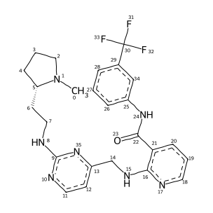 CN1CCC[C@H]1CCNc1nccc(CNc2ncccc2C(=O)Nc2cccc(C(F)(F)F)c2)n1